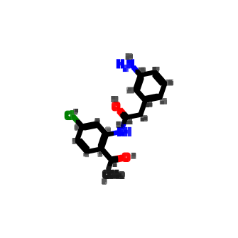 COC(=O)c1ccc(Cl)cc1NC(=O)Cc1cccc(N)c1